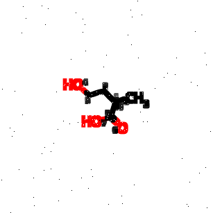 C[C@H](CCO)C(=O)O